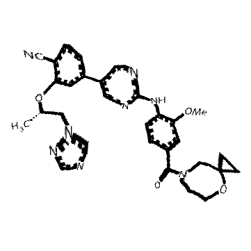 COc1cc(C(=O)N2CCOC3(CC3)C2)ccc1Nc1ncc(-c2ccc(C#N)c(O[C@@H](C)Cn3cncn3)c2)cn1